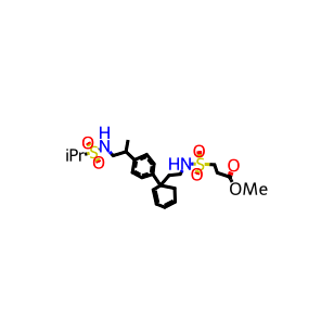 COC(=O)CCS(=O)(=O)NCCC1(c2ccc(C(C)CNS(=O)(=O)C(C)C)cc2)C=CC=CC1